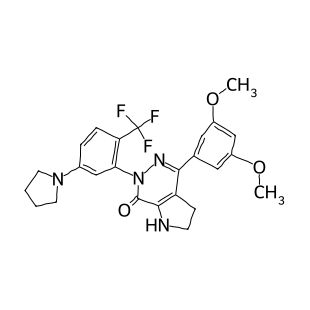 COc1cc(OC)cc(-c2nn(-c3cc(N4CCCC4)ccc3C(F)(F)F)c(=O)c3c2CCN3)c1